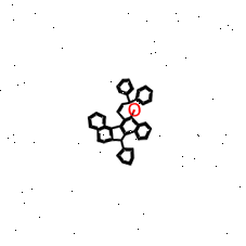 C1=CC(c2ccccc2)(c2ccccc2)Oc2c1c1c(c3ccccc23)C(c2ccccc2)c2ccc3ccccc3c2-1